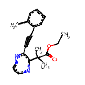 CCOC(=O)C(C)(C)c1nccnc1C#Cc1ccccc1C